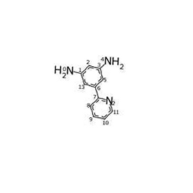 Nc1cc(N)cc(-c2ccccn2)c1